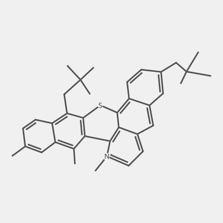 Cc1ccc2c(CC(C)(C)C)c3c(c(C)c2c1)-c1c2c(c4ccc(CC(C)(C)C)cc4cc2cc[n+]1C)S3